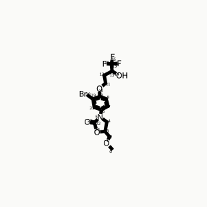 COCC1CN(c2ccc(OCCC(O)C(F)(F)F)c(Br)c2)C(=O)O1